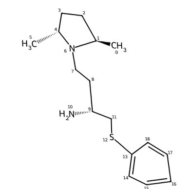 C[C@@H]1CC[C@@H](C)N1CC[C@@H](N)CSc1ccccc1